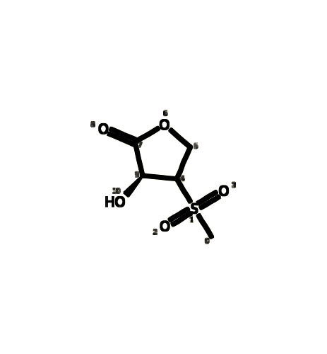 CS(=O)(=O)C1COC(=O)[C@@H]1O